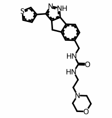 O=C(NCCN1CCOCC1)NCc1ccc2c(c1)Cc1c(-c3ccsc3)n[nH]c1-2